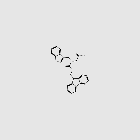 O=C(O)CN(Cc1coc2ccccc12)C(=O)OCC1c2ccccc2-c2ccccc21